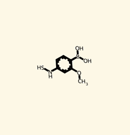 COc1cc(NS)ccc1B(O)O